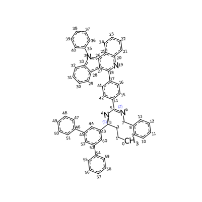 CCC/C(=N\C(=N/Cc1ccccc1)c1ccc(-c2nc3ccccc3c3c2c2ccccc2n3-c2ccccc2)cc1)c1cc(-c2ccccc2)cc(-c2ccccc2)c1